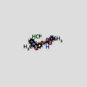 CN[C@H]1COc2ccc(OCCNS(=O)(=O)c3cnn(C)c3)cc2[C@@H]1Cc1ccccc1.Cl